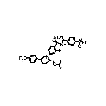 CCS(=O)(=O)c1ccc([C@H](CC#N)NC(=O)c2ccc(N3C[C@H](c4ccc(C(F)(F)F)cc4)CC[C@H]3COC(F)F)cc2F)cc1